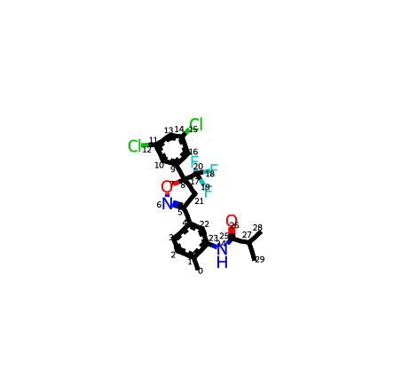 Cc1ccc(C2=NOC(c3cc(Cl)cc(Cl)c3)(C(F)(F)F)C2)cc1NC(=O)C(C)C